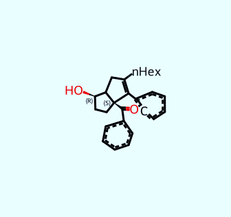 CCCCCCC1=C(c2ccccc2)[C@]2(C(=O)c3ccccc3)CC[C@@H](O)C2C1